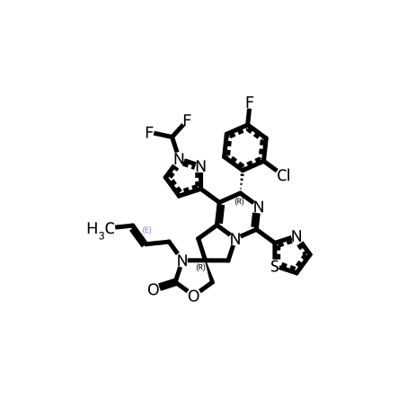 C/C=C/CN1C(=O)OC[C@]12CC1=C(c3ccn(C(F)F)n3)[C@H](c3ccc(F)cc3Cl)N=C(c3nccs3)N1C2